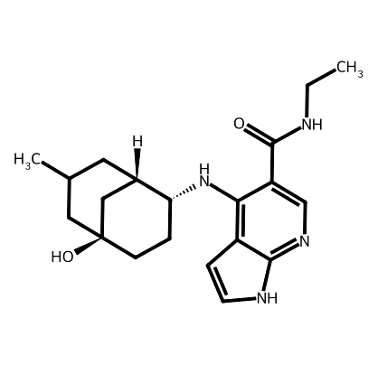 CCNC(=O)c1cnc2[nH]ccc2c1N[C@@H]1CC[C@]2(O)CC(C)C[C@H]1C2